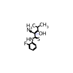 CC(C)/C(O)=C(\C#N)C(=S)Nc1ccccc1F